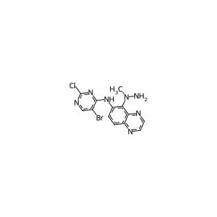 CN(N)c1c(Nc2nc(Cl)ncc2Br)ccc2nccnc12